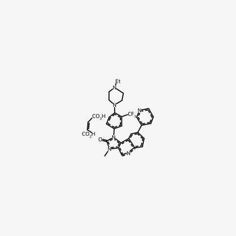 CCN1CCN(c2ccc(-n3c(=O)n(C)c4cnc5ccc(-c6cccnc6)cc5c43)cc2C(F)(F)F)CC1.O=C(O)/C=C\C(=O)O